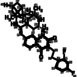 C[C@@H]1CN(C(=Nc2ccc3c(=O)n(CCc4ccc(F)cc4F)c(=O)[nH]c3c2)NC2C[C@@H]3C[C@@H]([C@H]2C)C3(C)C)C[C@H](C)N1